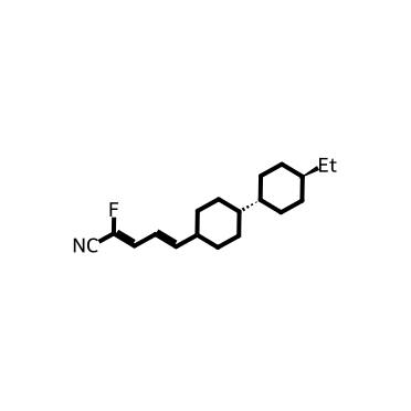 CC[C@H]1CC[C@H](C2CCC(C=CC=C(F)C#N)CC2)CC1